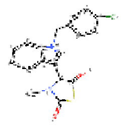 CN1C(=O)SC(=O)C1c1cn(Cc2ccc(Cl)cc2)c2ccccc12